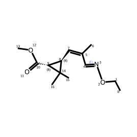 CCO/N=C/C(C)=C[C@@H]1[C@@H](C(=O)OC)C1(C)C